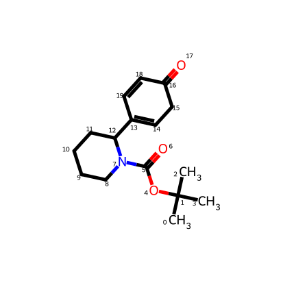 CC(C)(C)OC(=O)N1CCCCC1C1=CCC(=O)C=C1